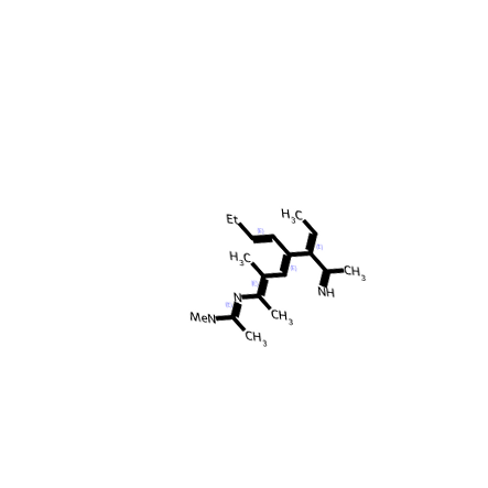 C/C=C(/C(C)=N)C(=C/C(C)=C(C)/N=C(\C)NC)/C=C/CC